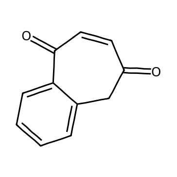 O=C1C=CC(=O)c2ccccc2C1